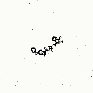 C[C@@H](C[C@H]1C[C@H](NC(=O)c2cnc3cc(Oc4ccccn4)ccn23)C1)c1n[nH]c(=O)c2ccccc12